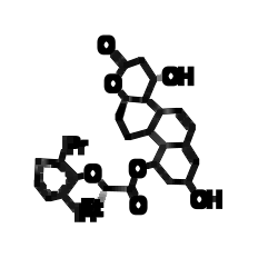 CC[C@H](Oc1c(C(C)C)cccc1C(C)C)C(=O)OC1CC(O)C=C2C=CC(C)C(CC[C@@H]3C[C@@H](O)CC(=O)O3)C21